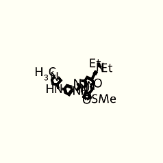 CCN(C#Cc1cc2cnc(Nc3ccc(NC4CCN(C)CC4)cc3)nc2n(Cc2ccoc2SC)c1=O)CC